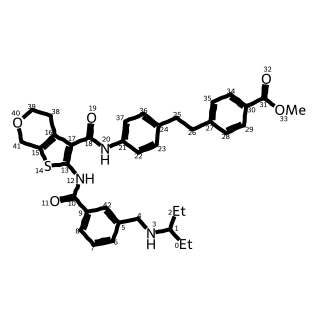 CCC(CC)NCc1cccc(C(=O)Nc2sc3c(c2C(=O)Nc2ccc(CCc4ccc(C(=O)OC)cc4)cc2)CCOC3)c1